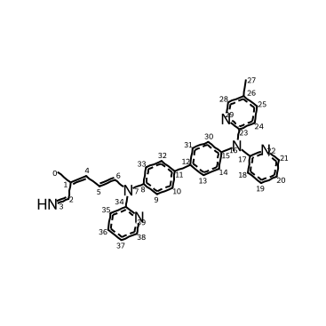 C/C(C=N)=C/C=C/N(c1ccc(-c2ccc(N(c3ccccn3)c3ccc(C)cn3)cc2)cc1)c1ccccn1